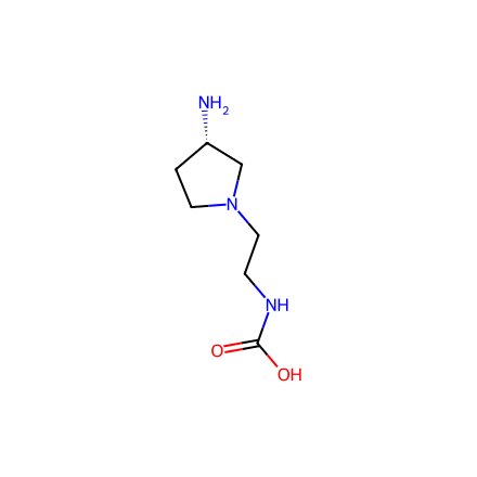 N[C@H]1CCN(CCNC(=O)O)C1